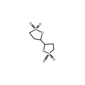 O=S1(=O)CCC(C2CCS(=O)(=O)O2)O1